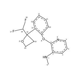 CNc1cccnc1Oc1ccccc1C1(C(F)F)CCO1